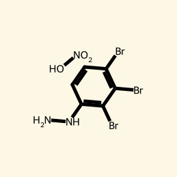 NNc1ccc(Br)c(Br)c1Br.O=[N+]([O-])O